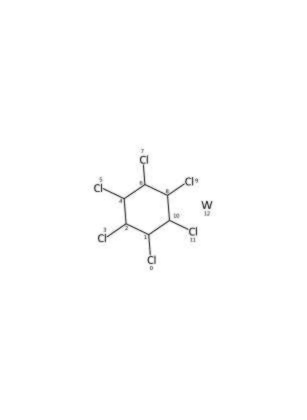 ClC1C(Cl)C(Cl)C(Cl)C(Cl)C1Cl.[W]